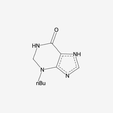 CCCCN1CNC(=O)c2[nH]cnc21